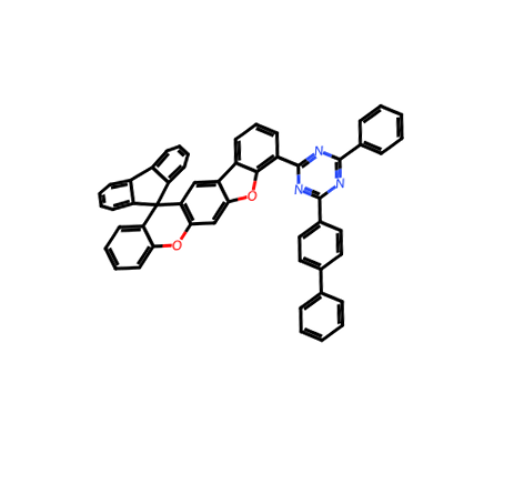 c1ccc(-c2ccc(-c3nc(-c4ccccc4)nc(-c4cccc5c4oc4cc6c(cc45)C4(c5ccccc5O6)c5ccccc5-c5ccccc54)n3)cc2)cc1